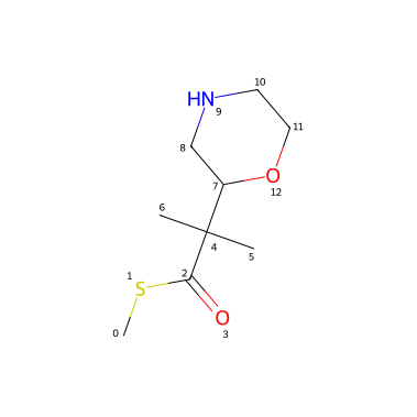 CSC(=O)C(C)(C)C1CNCCO1